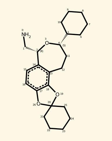 NC[C@@H]1O[C@H](C2CCCCC2)CCc2c1ccc1c2OC2(CCCCC2)O1